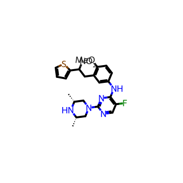 COc1ccc(Nc2nc(N3C[C@@H](C)N[C@@H](C)C3)ncc2F)cc1CC(c1cccs1)[N+](=O)[O-]